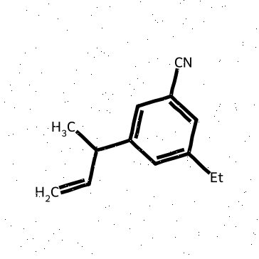 C=C[C](C)c1cc(C#N)cc(CC)c1